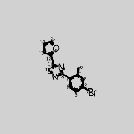 Cc1cc(Br)ccc1-c1nsc(-c2ccco2)n1